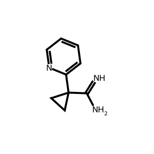 N=C(N)C1(c2ccccn2)CC1